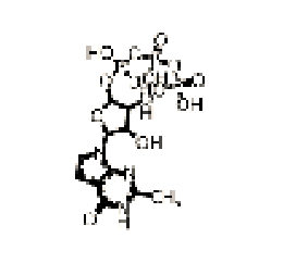 Cc1nc2c(ccn2C2OC(OP(=O)(O)OP(=O)(O)OP(=O)(O)O)C(O)C2O)c(=O)[nH]1